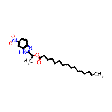 CCCCCCCCCCCCCCCC(=O)OC(C)c1nc2ccc([N+](=O)[O-])cc2[nH]1